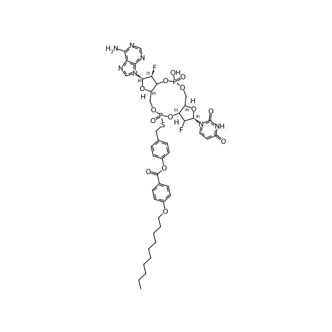 CCCCCCCCCCOc1ccc(C(=O)Oc2ccc(CSP3(=O)OC[C@H]4O[C@@H](n5cnc6c(N)ncnc65)[C@@H](F)C4OP(=O)(O)OC[C@H]4O[C@@H](n5ccc(=O)[nH]c5=O)C(F)[C@H]4O3)cc2)cc1